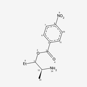 CCC(OC(=O)c1ccc([N+](=O)[O-])cc1)[C@H](C)N